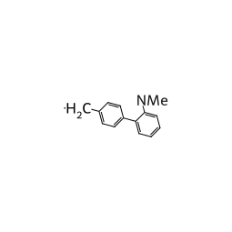 [CH2]c1ccc(-c2ccccc2NC)cc1